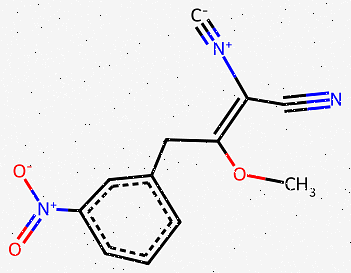 [C-]#[N+]/C(C#N)=C(\Cc1cccc([N+](=O)[O-])c1)OC